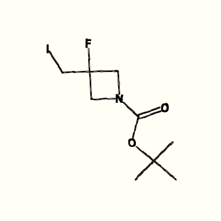 CC(C)(C)OC(=O)N1CC(F)(CI)C1